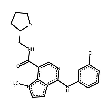 Cn1ccc2c(Nc3cccc(Cl)c3)ncc(C(=O)NC[C@H]3CCCO3)c21